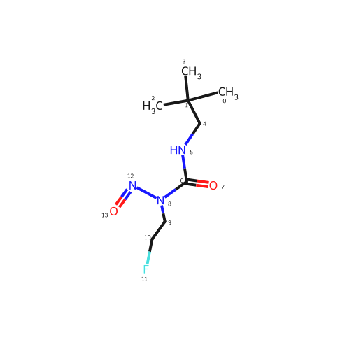 CC(C)(C)CNC(=O)N(CCF)N=O